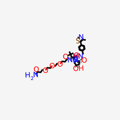 Cc1ncsc1-c1ccc(CNC(=O)[C@@H]2C[C@@H](O)CN2C(=O)[C@@H](NC(=O)CCOCCOCCOCCC(N)=O)C(C)(C)C)cc1